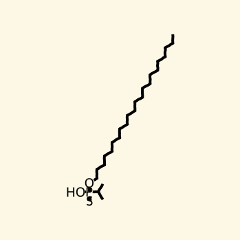 CCCCCCCCCCCCCCCCCCCCCCOP(O)(=S)C(C)C